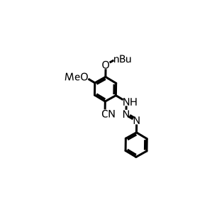 CCCCOc1cc(NN=Nc2ccccc2)c(C#N)cc1OC